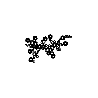 COc1ccc(CSC[C@@H](C(=O)OCc2ccccc2)N(C(=O)OC(C)(C)C)C(=O)[C@H](COCc2ccccc2)NC(=O)[C@@H](NC(=O)[C@H](Cc2ccccc2)NC(=O)[C@@H](NC(=O)[C@H](CCCC(N)C(=O)OCc2ccccc2Cl)NC(=O)[C@H](Cc2c[nH]c3ccccc23)NC(=O)[C@H](Cc2ccccc2)NC(=O)[C@@H](N)Cc2ccccc2)[C@@H](C)OCc2ccccc2)[C@@H](C)OCc2ccccc2)cc1